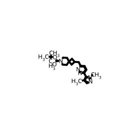 Cc1cnn(C)c1-c1ccc(CC2CC3(CCN(C(=O)OC(C)(C)C)CC3)C2)nn1